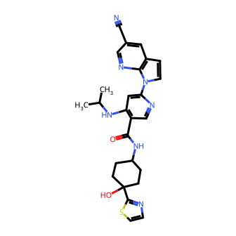 CC(C)Nc1cc(-n2ccc3cc(C#N)cnc32)ncc1C(=O)NC1CCC(O)(c2nccs2)CC1